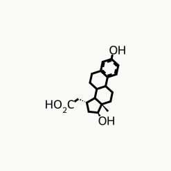 C[C@]12CCC3c4ccc(O)cc4CCC3C1[C@@H](CC(=O)O)C[C@@H]2O